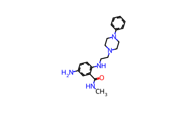 CNC(=O)c1cc(N)ccc1NCCN1CCN(c2ccccc2)CC1